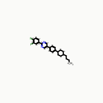 CCCCC1CCC(c2ccc(-c3cnc(-c4ccc(F)c(F)c4)nc3)cc2)CC1